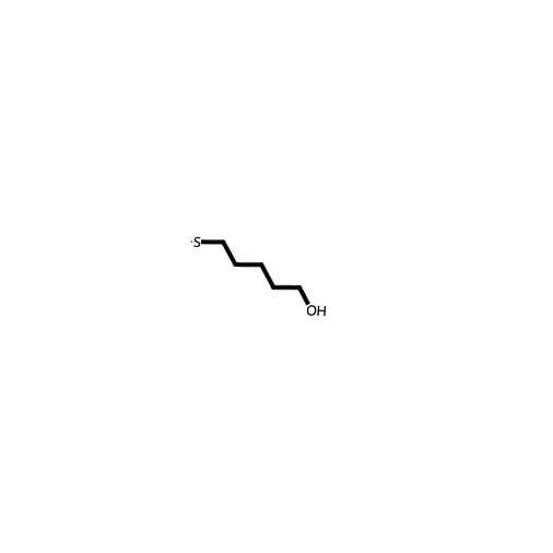 OCCCCC[S]